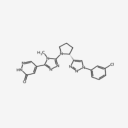 Cn1c(-c2cn[nH]c(=O)c2)nnc1N1CCC[C@@H]1c1cn(-c2cccc(Cl)c2)nn1